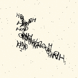 CN[C@@H](CCCCNC(=O)COCCOCCNC(=O)COCCOCCNC(=O)CCCC(=O)N[C@@H](CCCCNC(=O)CCCC(=O)NC(CNC(C)(C)/C(C)=N/O)CNC(C)(C)/C(C)=N/O)C(=O)NCCCC[C@H](NC)C(N)=O)C(N)=O